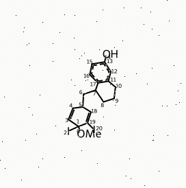 COC1(I)C=CC(CC2CCCc3cc(O)ccc32)C=C1I